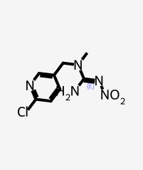 CN(Cc1ccc(Cl)nc1)/C(N)=N/[N+](=O)[O-]